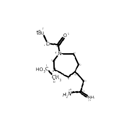 CC(=O)O.CC(C)(C)OC(=O)N1CCCC(CC(=N)N)CC1